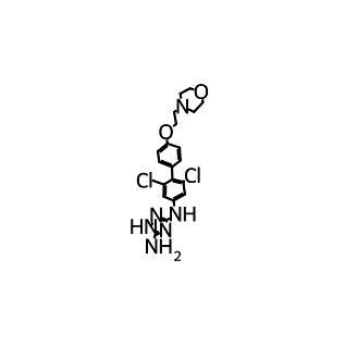 Nc1nc(Nc2cc(Cl)c(-c3ccc(OCCN4CCOCC4)cc3)c(Cl)c2)n[nH]1